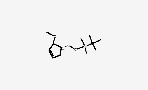 COC1C=CC[C@H]1CO[Si](C)(C)C(C)(C)C